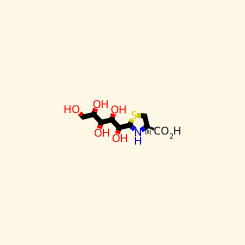 O=C(O)[C@@H]1CSC(C(O)C(O)C(O)C(O)CO)N1